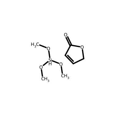 CO[SiH](OC)OC.O=C1C=CCO1